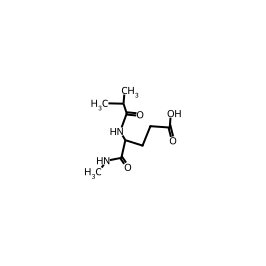 CNC(=O)C(CCC(=O)O)NC(=O)C(C)C